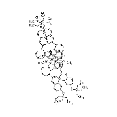 CCC1=CC2=C(C=CC=CC2c2ccc3cc(O[Si](CC)(CC)CC)ccc3c2)[C]12[SiH](C)[C]1(C(CC)=CC3=C1C=CC=CC3c1ccc3cc(O[Si](CC)(CC)CC)ccc3c1)[Zr]21([Cl])([Cl])[C]2(C(CC)=CC3=C2C=CC=CC3c2ccc3cc(O[Si](CC)(CC)CC)ccc3c2)[SiH](C)[C]12C(CC)=CC1=C2C=CC=CC1c1ccc2cc(O[Si](CC)(CC)CC)ccc2c1